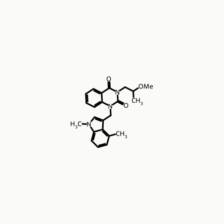 COC(C)Cn1c(=O)c2ccccc2n(Cc2cn(C)c3cccc(C)c23)c1=O